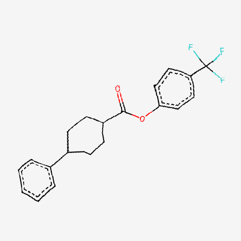 O=C(Oc1ccc(C(F)(F)F)cc1)C1CCC(c2ccccc2)CC1